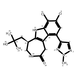 Cn1ncc(-c2cc(Cl)c(Cl)c3[nH]c4c(c23)CC(=O)NC[C@H]4CC(C)(C)O)n1